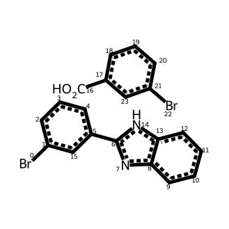 Brc1cccc(-c2nc3ccccc3[nH]2)c1.O=C(O)c1cccc(Br)c1